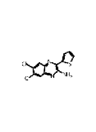 Nc1nc2cc(Cl)c(Cl)cc2nc1-c1cccs1